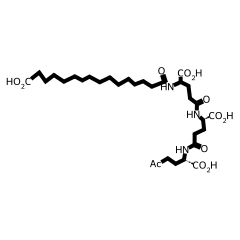 CC(=O)CC[C@H](NC(=O)CC[C@H](NC(=O)CCC(NC(=O)CCCCCCCCCCCCCCC(=O)O)C(=O)O)C(=O)O)C(=O)O